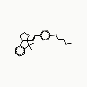 COCCOc1ccc(C=CC23OCCN2c2ccccc2C3(C)C)cc1